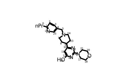 CCCc1ccc(CN2CCC(c3cc(O)nc(N4CCOCC4)n3)CC2)cn1